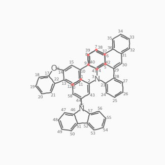 c1cc(N(c2ccccc2-c2ccc3c(c2)oc2ccccc23)c2ccccc2-c2cc3ccccc3c3ccccc23)cc(-n2c3ccccc3c3ccccc32)c1